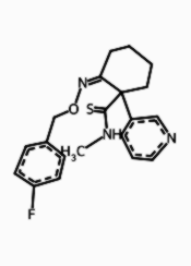 CNC(=S)C1(c2cccnc2)CCCC/C1=N/OCc1ccc(F)cc1